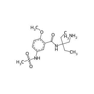 CCC(CC)(CN)NC(=O)c1cc(NS(C)(=O)=O)ccc1OC